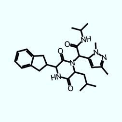 Cc1cc(C(C(=O)NC(C)C)N2C(=O)C(C3Cc4ccccc4C3)NC(=O)C2CC(C)C)n(C)n1